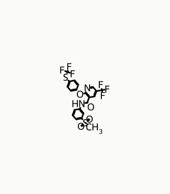 CS(=O)(=O)c1cccc(NC(=O)c2cc(C(F)(F)F)cnc2Oc2ccc(SC(F)(F)F)cc2)c1